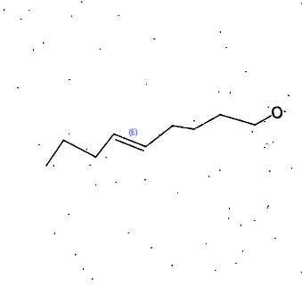 CCC/C=C/CCCC[O]